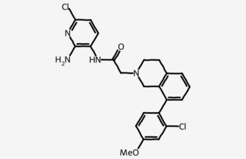 COc1ccc(-c2cccc3c2CN(CC(=O)Nc2ccc(Cl)nc2N)CC3)c(Cl)c1